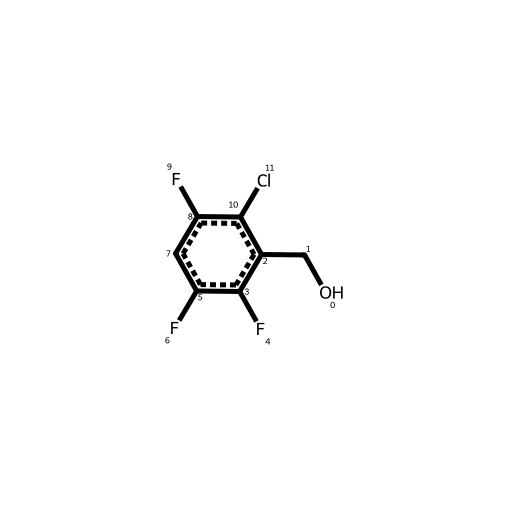 OCc1c(F)c(F)cc(F)c1Cl